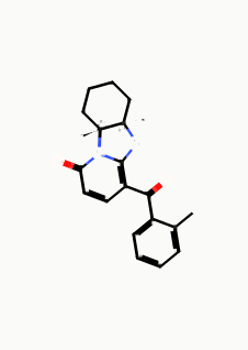 Cc1ccccc1C(=O)c1ccc(=O)n2c1N[C@@H]1CCCC[C@H]12